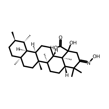 C[C@@H]1[C@H]2[C@H]3CC[C@@H]4[C@]5(C)[C@@H](CC[C@@]4(C)[C@]3(C)CC[C@@]2(C)CC[C@H]1C)C(C)(C)C(=NO)CC5(O)C(=O)O